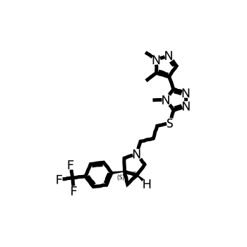 Cc1c(-c2nnc(SCCCN3C[C@@H]4C[C@]4(c4ccc(C(F)(F)F)cc4)C3)n2C)cnn1C